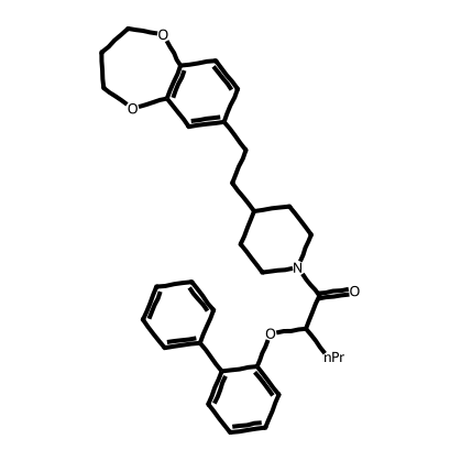 CCCC(Oc1ccccc1-c1ccccc1)C(=O)N1CCC(CCc2ccc3c(c2)OCCCO3)CC1